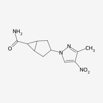 Cc1nn(C2CC3C(C2)C3C(N)=O)cc1[N+](=O)[O-]